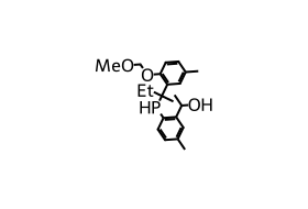 CCC(C)(Pc1ccc(C)cc1C(C)O)c1cc(C)ccc1OCOC